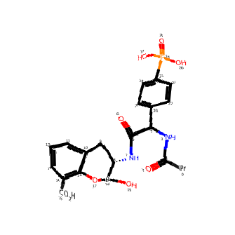 CC(C)C(=O)NC(C(=O)N[C@H]1Cc2cccc(C(=O)O)c2OB1O)c1ccc(P(=O)(O)O)cc1